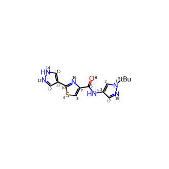 CC(C)(C)n1cc(NC(=O)c2csc(-c3cn[nH]c3)n2)cn1